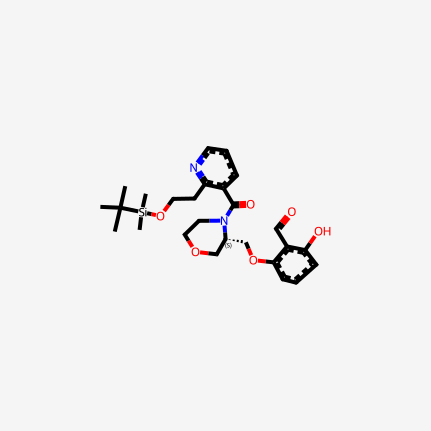 CC(C)(C)[Si](C)(C)OCCc1ncccc1C(=O)N1CCOC[C@H]1COc1cccc(O)c1C=O